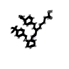 CC(C)(C)c1ccc(COc2ccccc2/C=C/C(CCCCC(=O)O)CCc2ccc(C#N)cc2)cc1